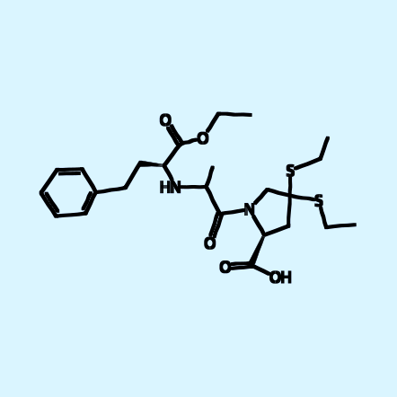 CCOC(=O)[C@H](CCc1ccccc1)NC(C)C(=O)N1CC(SCC)(SCC)C[C@H]1C(=O)O